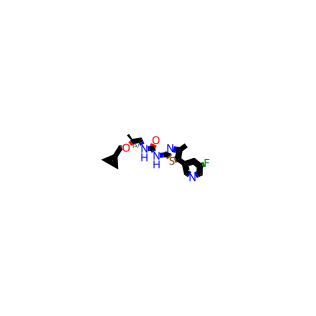 Cc1nc(NC(=O)NC[C@H](C)OCC2CC2)sc1-c1cncc(F)c1